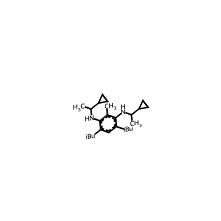 CCC(C)c1cc(C(C)CC)c(NC(C)C2CC2)c(C)c1NC(C)C1CC1